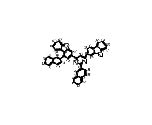 c1ccc2cc(-c3nc(-c4ccc5c(c4)oc4ccccc45)cc(-c4cc(-c5ccc6ccccc6c5)c5c(c4)oc4ccccc45)n3)ccc2c1